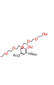 CCCCCCCCCc1cc(OC(C)=O)ccc1O.OCCOCCOCCOCCOCCOCCO